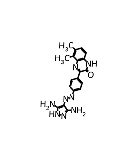 Cc1ccc2[nH]c(=O)c(-c3ccc(N=Nc4c(N)n[nH]c4N)cc3)nc2c1C